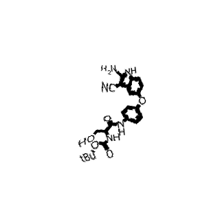 CC(C)(C)OC(=O)NC(CO)C(=O)Nc1ccc(Oc2ccc3[nH]c(N)c(C#N)c3c2)cc1